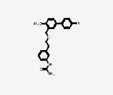 COc1ccc(-c2ccc(Cl)cc2)cc1COCCc1cccc(NC(N)=O)c1